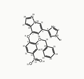 Cn1cnc(-c2cc(Oc3ccc([N+](=O)[O-])cc3OCc3ccccc3)c3ccnn3c2)c1